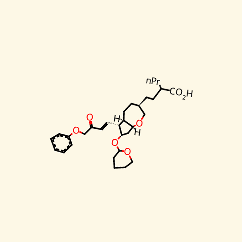 CCCC(CC[C@@H]1CC[C@@H]2[C@@H](/C=C/C(=O)COc3ccccc3)[C@H](OC3CCCCO3)C[C@@H]2OC1)C(=O)O